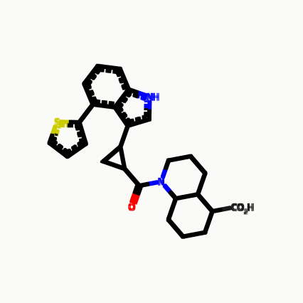 O=C(O)C1CCCC2C1CCCN2C(=O)C1CC1c1c[nH]c2cccc(-c3cccs3)c12